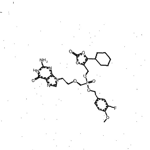 COc1ccc(COP(=O)(COCCn2cnc3c(=O)[nH]c(N)nc32)OCc2oc(=O)oc2C2CCCCC2)cc1F